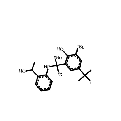 CCCCC(CC)(Pc1ccccc1C(C)O)c1cc(C(C)(C)I)cc(C(C)(C)C)c1O